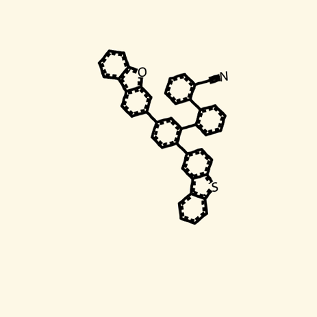 N#Cc1ccccc1-c1ccccc1-c1cc(-c2ccc3c(c2)oc2ccccc23)ccc1-c1ccc2sc3ccccc3c2c1